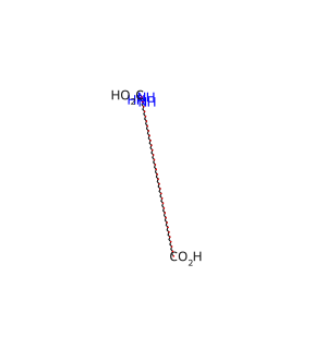 O=C(O)CCCCCCCCCCCCCCCCCCCCCCCCCCCCCCCCCCCCCCCCCCCCCCCCCCCCCCCCCCCCCCCNNNC(=O)O